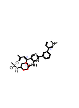 C=C/C(=C\N(C)C)c1cccc(-c2ncc(C(/C=N\C)=C/C(=C)C)c(NC34CCC(NS(C)(=O)=O)(CC3)CC4)n2)c1